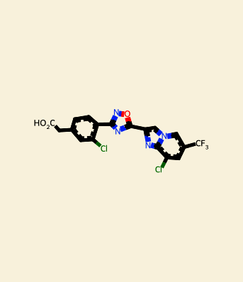 O=C(O)Cc1ccc(-c2noc(-c3cn4cc(C(F)(F)F)cc(Cl)c4n3)n2)c(Cl)c1